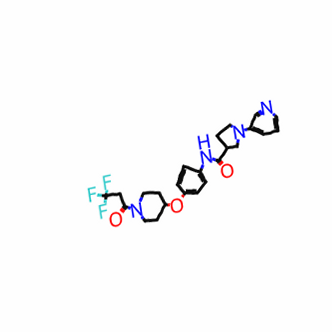 O=C(Nc1ccc(OC2CCN(C(=O)CC(F)(F)F)CC2)cc1)C1CCN(c2cccnc2)C1